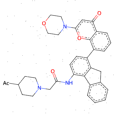 CC(=O)C1CCN(CC(=O)Nc2ccc(-c3cccc4c(=O)cc(N5CCOCC5)oc34)c3c2-c2ccccc2C3)CC1